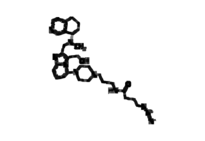 CN(Cc1nc2cccc(N3CCN(CCCNC(=O)CCCN=[N+]=[N-])CC3)n2c1CO)[C@H]1CCCc2ccncc21